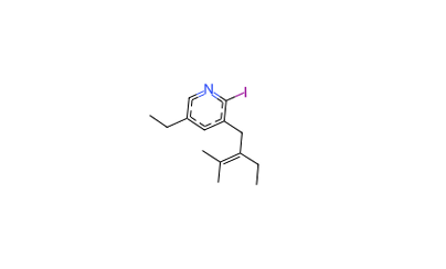 CCC(Cc1cc(CC)cnc1I)=C(C)C